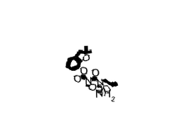 C=CCN(C(=O)N(C)C(=O)Oc1cccc2c1OC(C)(C)C2)S(N)(=O)=O